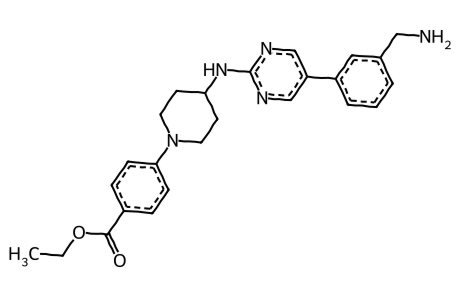 CCOC(=O)c1ccc(N2CCC(Nc3ncc(-c4cccc(CN)c4)cn3)CC2)cc1